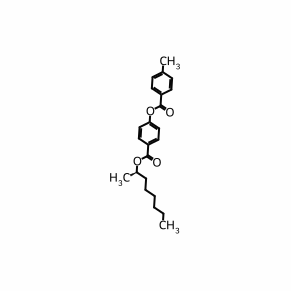 CCCCCC[C@@H](C)OC(=O)c1ccc(OC(=O)c2ccc(C)cc2)cc1